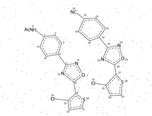 CC(=O)Nc1ccc(-c2noc(-c3sccc3Cl)n2)cc1.N#Cc1ccc(-c2noc(-c3sccc3Cl)n2)cc1